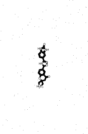 CCC1(CC)CC(=O)c2cc(C3NC(c4ccc5[nH]c(=O)[nH]c5c4)=NO3)ccc2O1